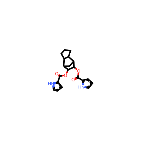 O=C(OC1C2CC(C3CCCC32)C1OC(=O)c1ccc[nH]1)c1ccc[nH]1